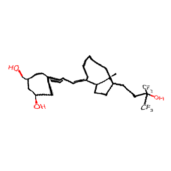 C[C@]12CCC/C(=C\C=C3\CC(O)C[C@H](O)C3)C1CCC2CCC(O)(C(F)(F)F)C(F)(F)F